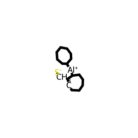 C1CCC[CH]([Al+][CH]2CCCCCCC2)CCC1.C[S-]